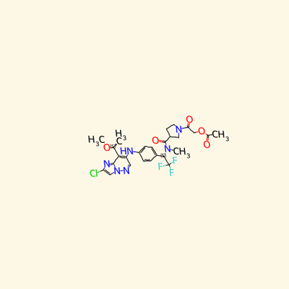 CO[C@@H](C)c1c(Nc2ccc([C@H](N(C)C(=O)C3CCN(C(=O)COC(C)=O)C3)C(F)(F)F)cc2)cnn2cc(Cl)nc12